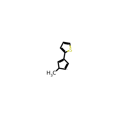 CC1[C]=CC(c2cccs2)=C1